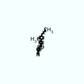 CCCCCC1CCC(c2ccc(C(=O)Oc3ccc(C#N)cc3)cc2)C(C)C1